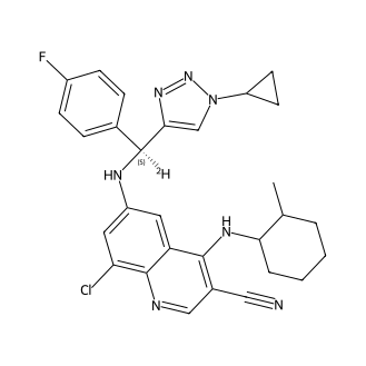 [2H][C@](Nc1cc(Cl)c2ncc(C#N)c(NC3CCCCC3C)c2c1)(c1ccc(F)cc1)c1cn(C2CC2)nn1